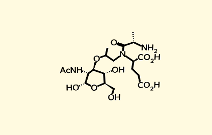 CC(=O)N[C@@H]1[C@@H](OC(C)CN(C(=O)[C@H](C)N)[C@H](CCC(=O)O)C(=O)O)[C@H](O)[C@@H](CO)O[C@@H]1O